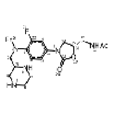 CCN(C[C@@H]1CNCCN1)c1ccc(N2C[C@H](CNC(C)=O)OC2=O)cc1F